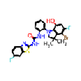 CC1(C)CN(c2ccccc2NC(=O)Nc2nc3ccc(F)cc3s2)c2c(O)cc(F)c(Br)c21